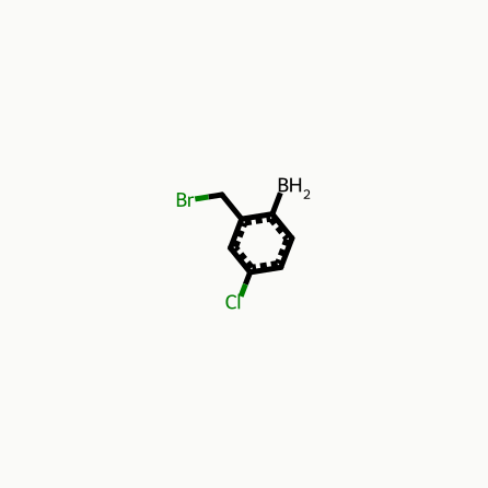 Bc1ccc(Cl)cc1CBr